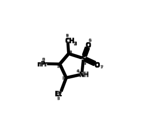 CCCC1C(CC)NS(=O)(=O)C1C